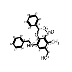 Cc1c(CO)cc(NCc2ccccc2)c(OCc2ccccc2)c1[N+](=O)[O-]